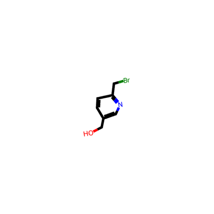 OCc1ccc(CBr)nc1